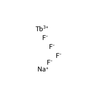 [F-].[F-].[F-].[F-].[Na+].[Tb+3]